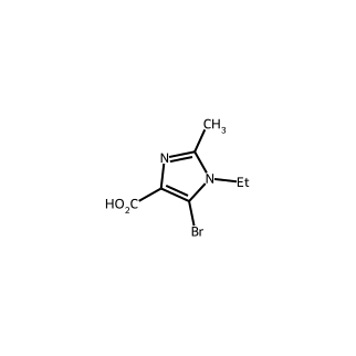 CCn1c(C)nc(C(=O)O)c1Br